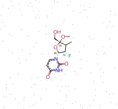 CO[C@@]1(CO)O[C@@H](n2ccc(=O)[nH]c2=O)[C@@H](F)C1C